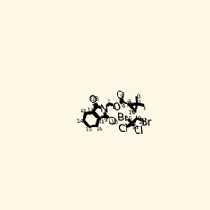 CC1(C)[C@H](C(=O)OCN2C(=O)C3=C(CCCC3)C2=O)[C@H]1C(Br)C(Cl)(Cl)Br